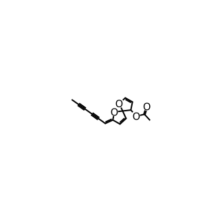 CC#CC#CC=C1C=CC2(OC=CC2OC(C)=O)O1